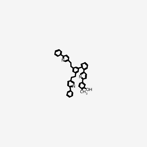 Cc1ccc(-c2ccc(-c3ccccc3-c3cc(CCc4ccc(-c5ccccc5)nc4)cc(CCc4ccc(-c5ccccc5)nc4)c3)cn2)cc1O